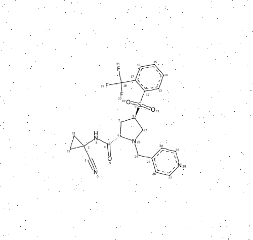 N#CC1(NC(=O)[C@@H]2C[C@@H](S(=O)(=O)c3ccccc3C(F)(F)F)CN2Cc2ccncc2)CC1